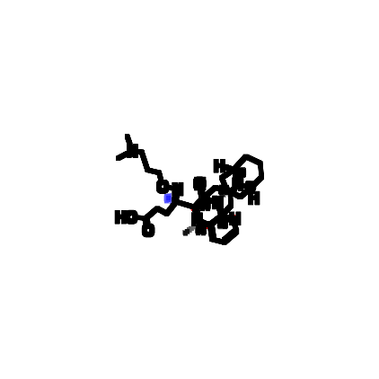 C[C@@H]1C[C@H]2CC(N3[C@@H]4CCC[C@H]3C[C@@H](n3c(=O)c(/C(CCC(=O)O)=N/OCCCN(C)C)nc5ccccc53)C4)C[C@@H](C1)C2